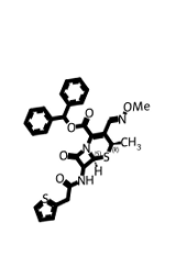 CON=CC1=C(C(=O)OC(c2ccccc2)c2ccccc2)N2C(=O)C(NC(=O)Cc3cccs3)[C@@H]2S[C@@H]1C